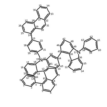 c1ccc(-c2cccc3cccc(-c4ccccc4N(c4ccc(-c5cccc6c5ccc5ccccc56)cc4)c4cccc(-c5cccc6c5c5ccccc5n6-c5ccccc5)c4)c23)cc1